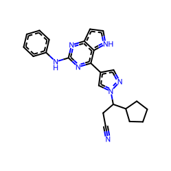 N#CCC(C1CCCC1)n1cc(-c2nc(Nc3ccccc3)nc3cc[nH]c23)cn1